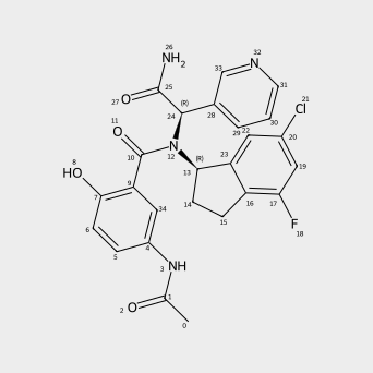 CC(=O)Nc1ccc(O)c(C(=O)N([C@@H]2CCc3c(F)cc(Cl)cc32)[C@@H](C(N)=O)c2cccnc2)c1